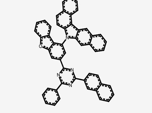 c1ccc(-c2nc(-c3ccc4ccccc4c3)nc(-c3cc(-n4c5cc6ccccc6cc5c5c6ccccc6ccc54)c4c(c3)oc3ccccc34)n2)cc1